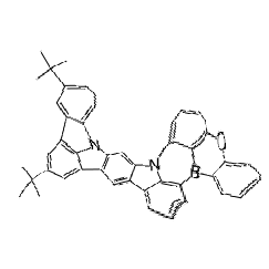 CC(C)(C)c1ccc2c(c1)c1cc(C(C)(C)C)cc3c4cc5c6cccc7c6n(c5cc4n2c13)-c1cccc2c1B7c1ccccc1O2